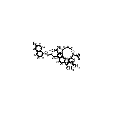 CCc1c2c(nn1C)C(C1CC1)OCCCCn1c(C(=O)O)c(CCCOc3cccc4cc(F)ccc34)c3ccc(Cl)c-2c31